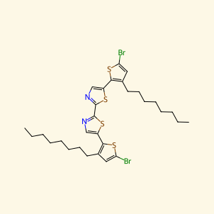 CCCCCCCCc1cc(Br)sc1-c1cnc(-c2ncc(-c3sc(Br)cc3CCCCCCCC)s2)s1